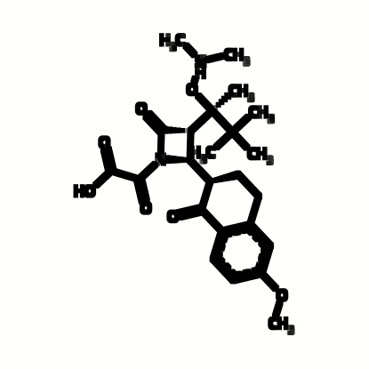 COc1ccc2c(c1)CC[C@H]([C@@H]1[C@@H]([C@@](C)(O[SiH](C)C)C(C)(C)C)C(=O)N1C(=O)C(=O)O)C2=O